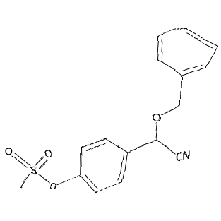 CS(=O)(=O)Oc1ccc(C(C#N)OCc2ccccc2)cc1